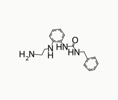 NCCNc1ccccc1NC(=O)NCc1ccccc1